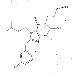 CC(C)CCn1c(Oc2cccc(Cl)c2)nc2c1C(=O)N(CCCO)C(O)N2C